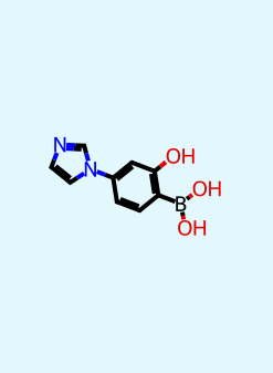 OB(O)c1ccc(-n2ccnc2)cc1O